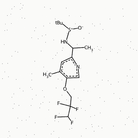 Cc1cc(C(C)N[S+]([O-])C(C)(C)C)ncc1OCC(F)(F)C(F)F